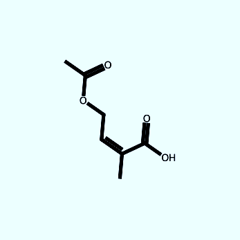 CC(=O)OCC=C(C)C(=O)O